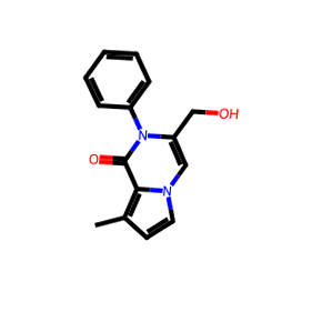 Cc1ccn2cc(CO)n(-c3ccccc3)c(=O)c12